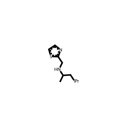 CC(C)CC(C)NCc1nccs1